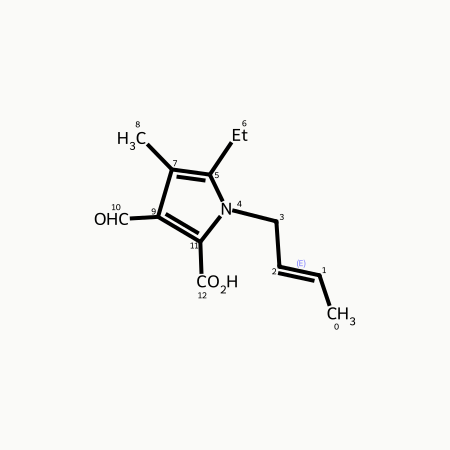 C/C=C/Cn1c(CC)c(C)c(C=O)c1C(=O)O